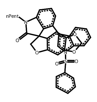 CCCCCN1C(=O)C2(COc3cc4c(cc32)OCO4)c2c(-c3cn(S(=O)(=O)c4ccccc4)c4ccccc34)cccc21